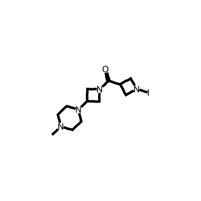 CN1CCN(C2CN(C(=O)C3CN(I)C3)C2)CC1